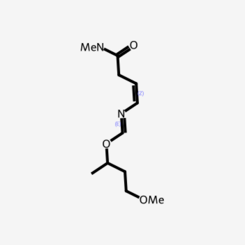 CNC(=O)C/C=C\N=C\OC(C)CCOC